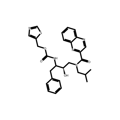 CC(C)CN(C[C@@H](O)C(Cc1ccccc1)NC(=O)OCc1cncs1)C(=O)c1cnc2ccccc2n1